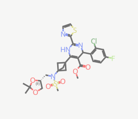 COC(=O)C1=C(C23CC(N(C[C@@H]4COC(C)(C)O4)S(C)(=O)=O)(C2)C3)NC(c2nccs2)=NC1c1ccc(F)cc1Cl